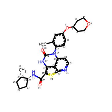 Cc1cc(OC2CCOCC2)ccc1N1C(=O)Nc2c(C(=O)N[C@@H]3CCC[C@@H]3C)sc3nccc1c23